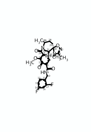 COc1c2n(cc(C(=O)NCc3ccc(F)cc3F)c1=O)[C@@H]1CN(C2=O)[C@@H](C)CC[C@@]12ON=C(C)N2C